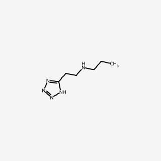 CCCNCCc1nnn[nH]1